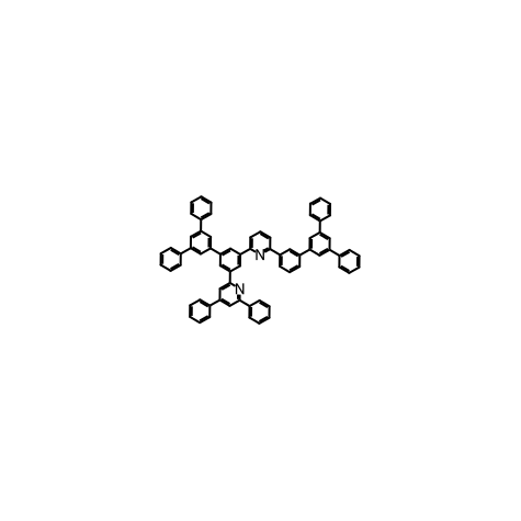 c1ccc(-c2cc(-c3ccccc3)cc(-c3cccc(-c4cccc(-c5cc(-c6cc(-c7ccccc7)cc(-c7ccccc7)c6)cc(-c6cc(-c7ccccc7)cc(-c7ccccc7)n6)c5)n4)c3)c2)cc1